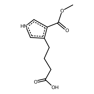 COC(=O)c1c[nH]cc1CCCC(=O)O